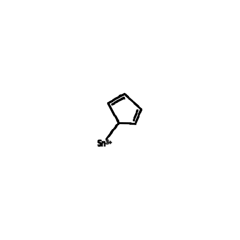 [Sn+3][CH]1C=CC=C1